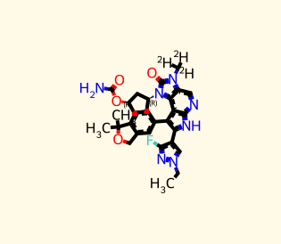 [2H]C([2H])([2H])n1c(=O)n([C@@H]2CC[C@@H](OC(N)=O)C2)c2c3c(-c4ccc5c(c4)COC5(C)C)c(-c4cn(CC)nc4F)[nH]c3ncc21